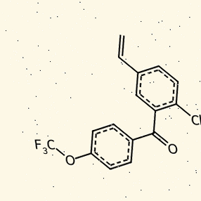 C=Cc1ccc(Cl)c(C(=O)c2ccc(OC(F)(F)F)cc2)c1